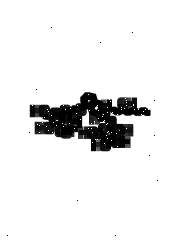 CCCCC[C@@H](O)CC[C@H]1[C@@H]2Cc3cccc(OCC(=O)OC4O[C@H](CO)[C@@H](O)[C@H](O)[C@H]4NC(C)=O)c3C[C@@H]2C[C@@H]1O[C@@H]1O[C@H](CO)[C@H](O)[C@H](O)[C@H]1O